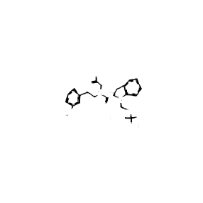 COc1cccc(CCN(CC(=O)O)C(=O)[C@H]2Cc3ccccc3N2C(=O)OC(C)(C)C)c1